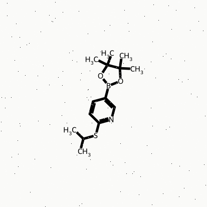 CC(C)Sc1ccc(B2OC(C)(C)C(C)(C)O2)cn1